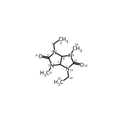 CCN1C(=O)N(C)C2C1N(C)C(=O)N2CC